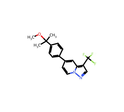 COC(C)(C)c1ccc(-c2ccn3ncc(C(F)(F)F)c3c2)cc1